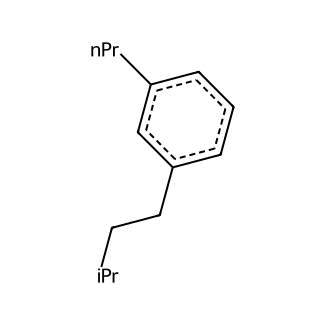 CCCc1cccc(CCC(C)C)c1